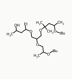 CCC(C)OC(C)COC(COC(CC)CC(C)O)COC(C)(C)CC(C)OC(C)(C)C